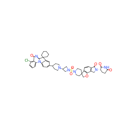 O=C1CC[C@H](N2Cc3c(ccc4c3OCC43CCN(S(=O)(=O)N4CC(N5CCC(c6ccc7c(c6)C6(CCCCC6)c6nc(=O)c8c(Cl)cccc8n6-7)CC5)C4)CC3)C2=O)C(=O)N1